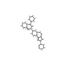 c1ccc(-c2nc3ccc4cc(-c5nc(-c6ccccc6)c6ccccc6n5)ccc4c3o2)cc1